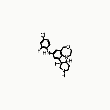 Fc1cc(Cl)ccc1Nc1cc2c3c(c1)[C@@H]1CNCC[C@@H]1N3CCOC2